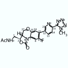 CC(=O)NC[C@@H]1OC(=O)N2c3cc(F)c(-c4ccc(-c5nnnn5C)nc4)cc3OC[C@@H]12